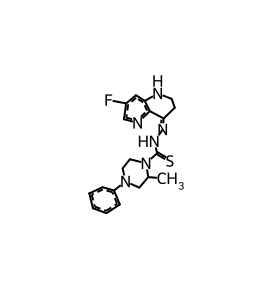 CC1CN(c2ccccc2)CCN1C(=S)N/N=C1/CCNc2cc(F)cnc21